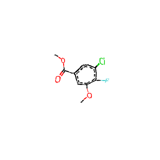 COC(=O)c1cc(Cl)c(F)c(OC)c1